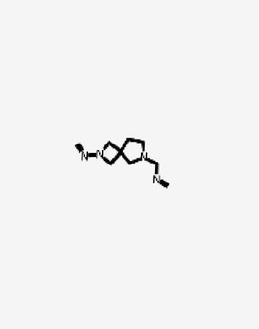 C=NCN1CCC2(C1)CN(N=C)C2